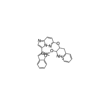 NC(OC=O)C(Cc1ccccc1)Oc1ccc2ncc(-c3cc4ccccc4o3)n2n1